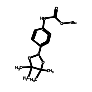 CC(C)(C)OC(=O)NC1=C=C=C(B2OC(C)(C)C(C)(C)O2)C=C1